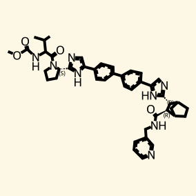 COC(=O)NC(C(=O)N1CCC[C@H]1c1ncc(-c2ccc(-c3ccc(-c4cnc([C@@H]5C6CCC(C6)[C@H]5C(=O)NCc5cccnc5)[nH]4)cc3)cc2)[nH]1)C(C)C